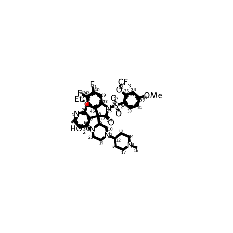 CCOc1ncccc1C1(C2CN(C3CCN(C)CC3)CCN2C(=O)O)C(=O)N(S(=O)(=O)c2ccc(OC)cc2OC(F)(F)F)c2cc(F)c(F)cc21